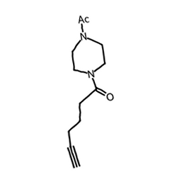 C#CCCCC(=O)N1CCN(C(C)=O)CC1